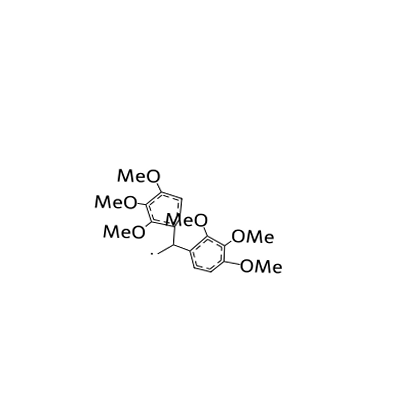 [CH2]C(c1ccc(OC)c(OC)c1OC)c1ccc(OC)c(OC)c1OC